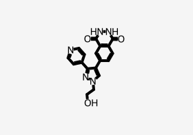 O=c1[nH][nH]c(=O)c2cc(-c3cn(CCO)nc3-c3ccncc3)ccc12